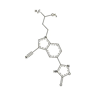 CC(C)CCn1cc(C#N)c2cc(-c3noc(=O)[nH]3)ccc21